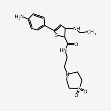 CCNC1C=C(c2ccc(N)cc2)SC1C(=O)NCCN1CCS(=O)(=O)CC1